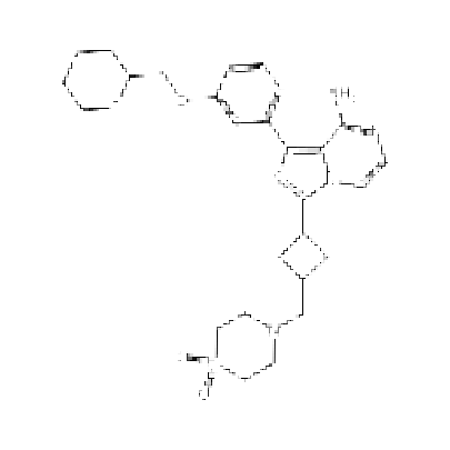 Nc1nccn2c(C3CC(CN4CCS(=O)(=O)CC4)C3)nc(-c3cccc(OCC4CCCCO4)c3)c12